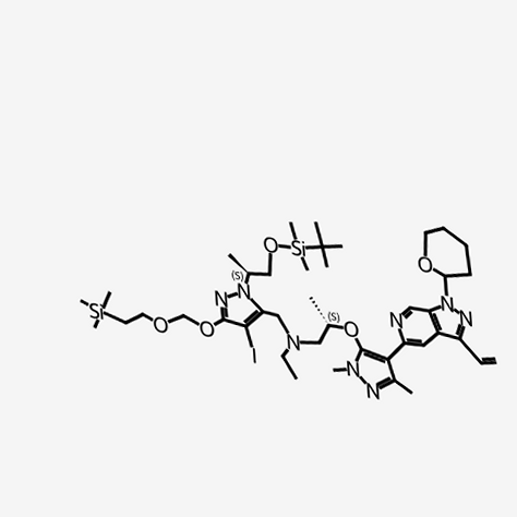 C=Cc1nn(C2CCCCO2)c2cnc(-c3c(C)nn(C)c3O[C@@H](C)CN(CC)Cc3c(I)c(OCOCC[Si](C)(C)C)nn3[C@@H](C)CO[Si](C)(C)C(C)(C)C)cc12